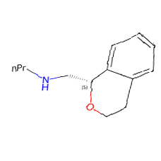 CCCNC[C@H]1OCCc2ccccc21